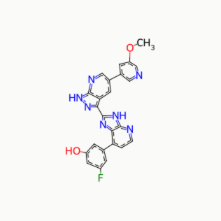 COc1cncc(-c2cnc3[nH]nc(-c4nc5c(-c6cc(O)cc(F)c6)ccnc5[nH]4)c3c2)c1